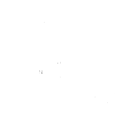 CC(C)(C)c1ccc(-c2cnc(-c3ccccc3)o2)cc1